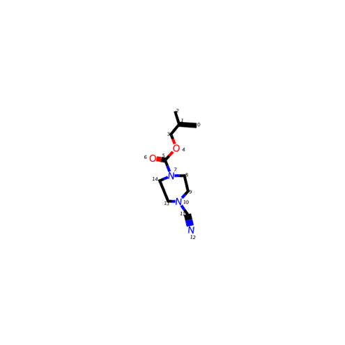 C=C(C)COC(=O)N1CCN(C#N)CC1